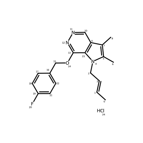 CC=CCn1c(C)c(C)c2cnnc(OCc3ccc(F)cc3)c21.Cl